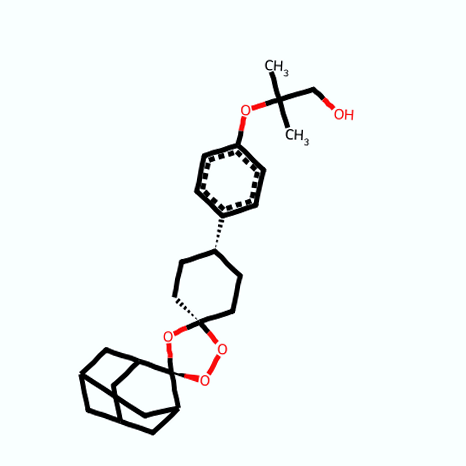 CC(C)(CO)Oc1ccc([C@H]2CC[C@]3(CC2)OO[C@]2(O3)C3CC4CC(C3)CC2C4)cc1